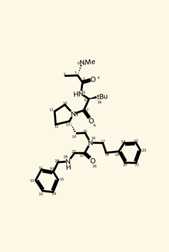 CN[C@@H](C)C(=O)N[C@H](C(=O)N1CCC[C@H]1CCN(CCc1ccccc1)C(=O)CNCc1ccccc1)C(C)(C)C